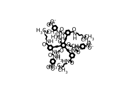 CCOc1c(C#Cc2cc(C(=O)NCCCN(C)C)ccc2NC(=O)Nc2ccc([N+](=O)[O-])cc2)c(OCC)c(C#Cc2cc(C(=O)NCCCN(C)C)ccc2NC(=O)Nc2ccc([N+](=O)[O-])cc2)c(OCC)c1C#Cc1cc(C(=O)NCCCN(C)C)ccc1NC(=O)Nc1ccc([N+](=O)[O-])cc1